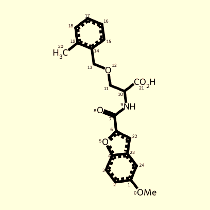 COc1ccc2oc(C(=O)NC(COCc3ccccc3C)C(=O)O)cc2c1